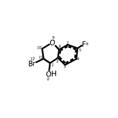 OC1c2ccc(F)cc2OCC1Br